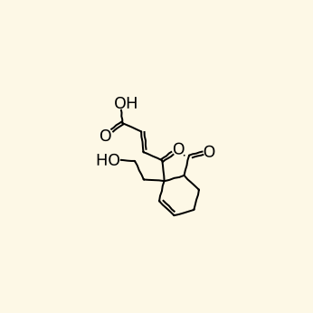 O=[C]C1CCC=CC1(CCO)C(=O)C=CC(=O)O